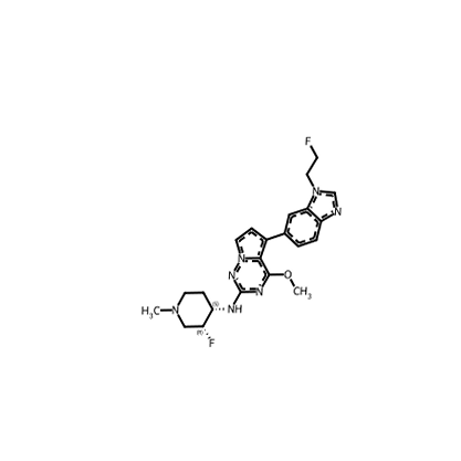 COc1nc(N[C@H]2CCN(C)C[C@H]2F)nn2ccc(-c3ccc4ncn(CCF)c4c3)c12